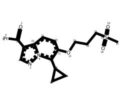 CC(C)C(=O)c1cnn2c(C3CC3)c(OCCCS(C)(=O)=O)ccc12